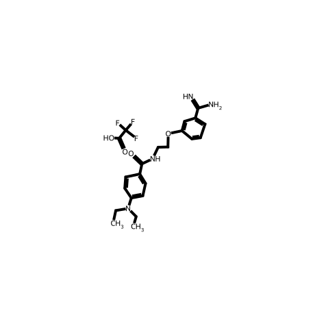 CCN(CC)c1ccc(C(=O)NCCOc2cccc(C(=N)N)c2)cc1.O=C(O)C(F)(F)F